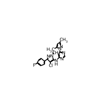 Cc1cc(C)n(-c2cc(Nc3c(Cl)c(-c4ccc(F)cc4)nn3C)ncn2)n1